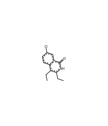 CCc1[nH]c(=O)c2cc(Cl)ccc2c1CC